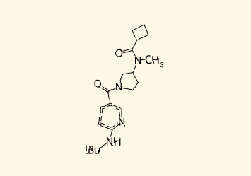 CN(C(=O)C1CCC1)C1CCN(C(=O)c2ccc(NC(C)(C)C)nc2)C1